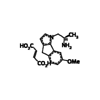 COc1ccc2c(c1)-c1c(ccn1C[C@@H](C)N)C2.O=C(O)C=CC(=O)O